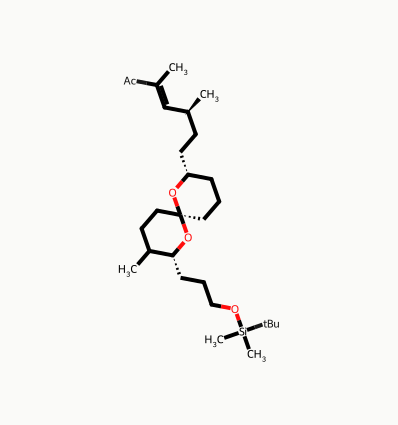 CC(=O)/C(C)=C/[C@@H](C)CC[C@@H]1CCC[C@]2(CCC(C)[C@@H](CCCO[Si](C)(C)C(C)(C)C)O2)O1